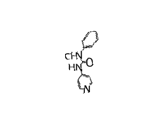 O=C(Nc1ccncc1)N(Cl)c1ccccc1